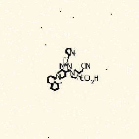 Cc1cccc2cccc(N3CCc4c(nc(OCC5CCCN5C)nc4N4CCN(C(=O)O)C(CC#N)C4)C3)c12